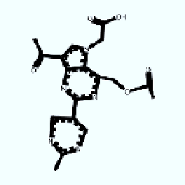 CC(=O)OCc1nc(-c2cnc(C)nc2)nc2c(C(C)=O)cn(CC(=O)O)c12